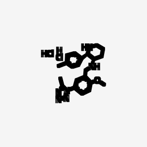 COc1ccc(-n2nnnc2C)cc1CN[C@@H]1CCCN[C@@H]1c1ccc(C)cc1.Cl.Cl